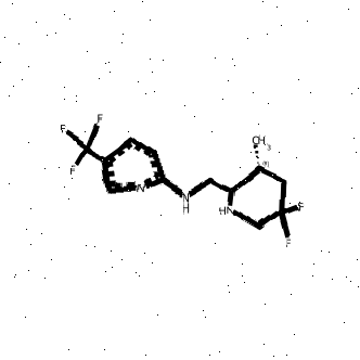 C[C@@H]1CC(F)(F)CNC1CNc1ccc(C(F)(F)F)cn1